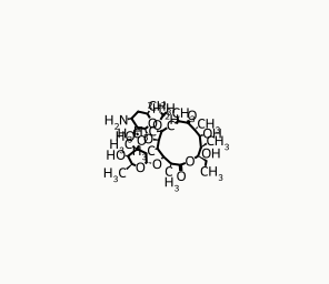 [2H]C([2H])([2H])O[C@]1(C)C[C@@H](C)C(=O)[C@H](C)[C@@H](O)[C@](C)(O)[C@@H](CC)OC(=O)[C@H](C)[C@@H](O[C@H]2C[C@@](C)(OC)[C@@H](O)[C@H](C)O2)[C@H](C)[C@H]1O[C@@H]1O[C@H](C)C[C@H](N)[C@H]1O